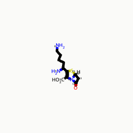 NCCCCC(N)C1=C(C(=O)O)N2C(=O)C[C@@H]2S1